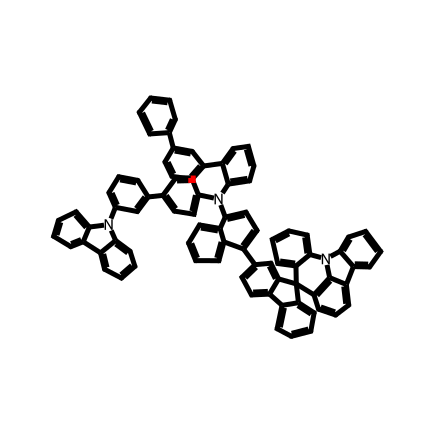 c1ccc(-c2cccc(-c3ccccc3N(c3ccc(-c4cccc(-n5c6ccccc6c6ccccc65)c4)cc3)c3ccc(-c4ccc5c(c4)C4(c6ccccc6-5)c5ccccc5-n5c6ccccc6c6cccc4c65)c4ccccc34)c2)cc1